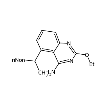 CCCCCCCCCC(C)c1cccc2nc(OCC)nc(N)c12